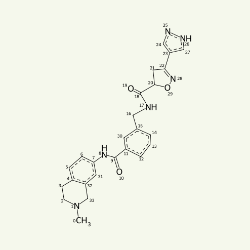 CN1CCc2ccc(NC(=O)c3cccc(CNC(=O)C4CC(c5cn[nH]c5)=NO4)c3)cc2C1